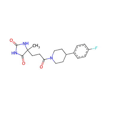 CC1(CCC(=O)N2CCC(c3ccc(F)cc3)CC2)NC(=O)NC1=O